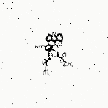 CCOC(=O)CCNc1cc(CO)cc(Nc2c3ccccc3nc3ccccc23)c1CCC(=O)OCC